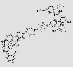 C#Cc1ccc([C@H](C)NC(=O)[C@@H]2C[C@@H](O)CN2C(=O)[C@@H](NC(=O)N2CC3(CC(N4CCC(c5cnc(N6CCc7[nH]c8nnc(-c9ccccc9O)cc8c7[C@H]6C(F)(F)F)nc5)CC4)C3)C2)C(C)(C)C)cc1